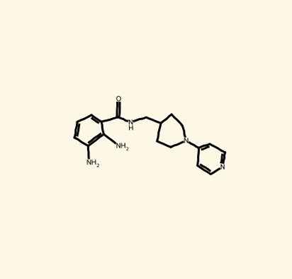 Nc1cccc(C(=O)NCC2CCN(c3ccncc3)CC2)c1N